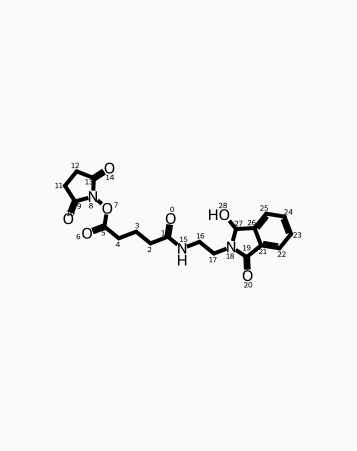 O=C(CCCC(=O)ON1C(=O)CCC1=O)NCCN1C(=O)c2ccccc2C1O